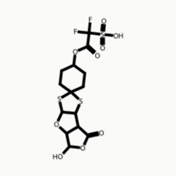 O=C1OC(O)C2OC3SC4(CCC(OC(=O)C(F)(F)S(=O)(=O)O)CC4)SC3C12